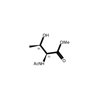 COC(=O)[C@@H](NC(C)=O)[C@@H](C)O